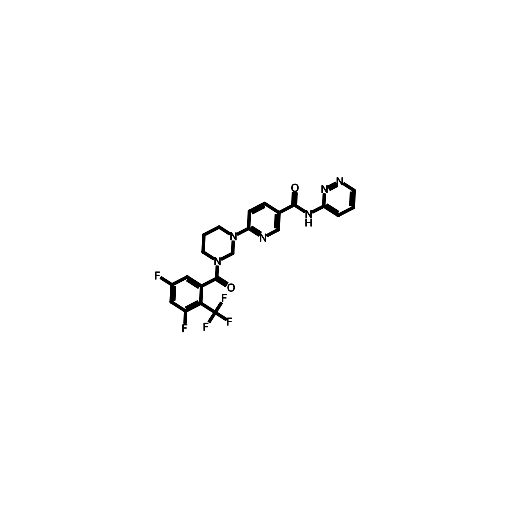 O=C(Nc1cccnn1)c1ccc(N2CCCN(C(=O)c3cc(F)cc(F)c3C(F)(F)F)C2)nc1